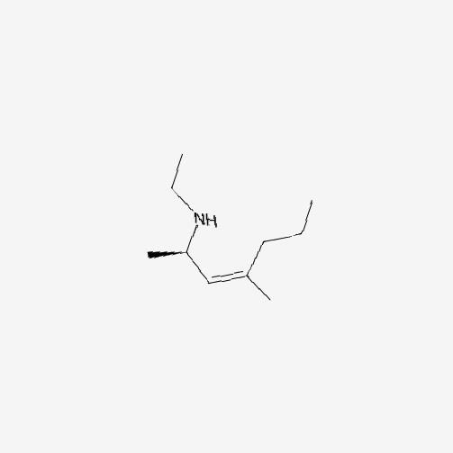 CCC/C(C)=C\[C@@H](C)NCC